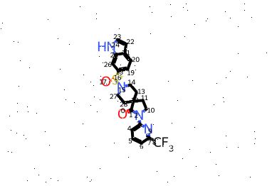 O=C1N(c2cccc(C(F)(F)F)n2)CCC12CCN([S+]([O-])c1ccc3cc[nH]c3c1)CC2